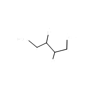 CCC(CS(=O)(=O)O)C(CC)CS(=O)(=O)O